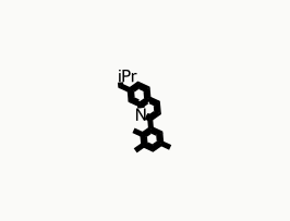 Cc1cc(C)c(C)c(-c2ccc3ccc(CC(C)C)cc3n2)c1